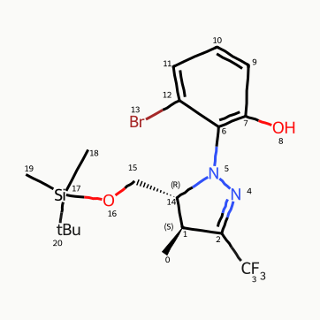 C[C@@H]1C(C(F)(F)F)=NN(c2c(O)cccc2Br)[C@H]1CO[Si](C)(C)C(C)(C)C